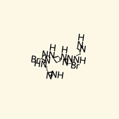 Brc1cnc(Nc2cccc(Nc3ncc(Br)c(NCCc4c[nH]cn4)n3)c2)nc1NCCc1c[nH]cn1